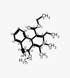 CCOC(=O)C1=C(CC)N(C)C(C)=C(C(=O)OC)C1c1ccccc1C#N